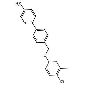 Cc1ccc(-c2ccc(COc3ccc(C#N)c(F)c3)cc2)nc1